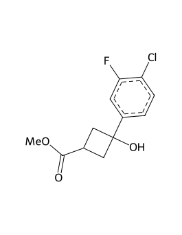 COC(=O)C1CC(O)(c2ccc(Cl)c(F)c2)C1